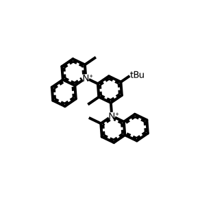 Cc1c(-[n+]2c(C)ccc3ccccc32)cc(C(C)(C)C)cc1-[n+]1c(C)ccc2ccccc21